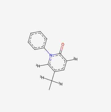 [2H]c1cc(C([2H])([2H])C)c([2H])n(-c2ccccc2)c1=O